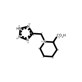 O=C(O)C1CCCCN1Cc1nn[nH]n1